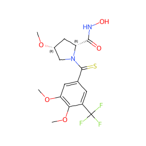 COc1cc(C(=S)N2C[C@H](OC)C[C@@H]2C(=O)NO)cc(C(F)(F)F)c1OC